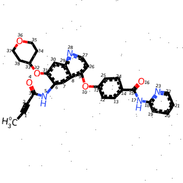 CC#CC(=O)Nc1cc2c(Oc3ccc(C(=O)Nc4ccccn4)cc3)ccnc2cc1OC1CCOCC1